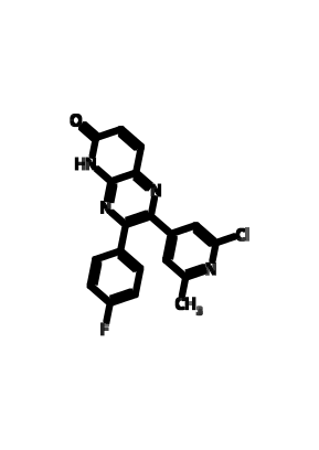 Cc1cc(-c2nc3ccc(=O)[nH]c3nc2-c2ccc(F)cc2)cc(Cl)n1